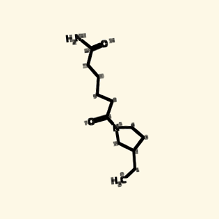 CCC1CCN(C(=O)CCCCC(N)=O)C1